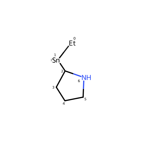 C[CH2][Sn][CH]1CCCN1